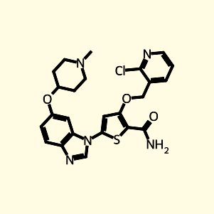 CN1CCC(Oc2ccc3ncn(-c4cc(OCc5cccnc5Cl)c(C(N)=O)s4)c3c2)CC1